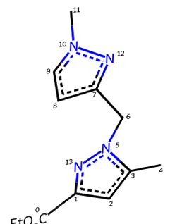 CCOC(=O)c1cc(C)n(Cc2ccn(C)n2)n1